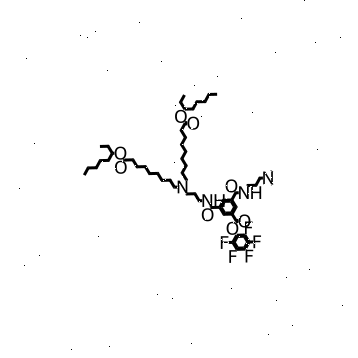 CCCCCC(CC)OC(=O)CCCCCCCCN(CCCCCCCCC(=O)OC(CC)CCCCC)CCCNC(=O)c1cc(C(=O)NCCCN(C)C)cc(C(=O)Oc2c(F)c(F)c(F)c(F)c2F)c1